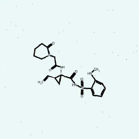 C=C[C@@H]1C[C@]1(NC(=O)CN1CCCCC1=O)C(=O)NS(=O)(=O)c1ccccc1NC